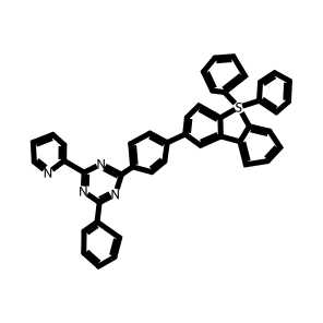 c1ccc(-c2nc(-c3ccc(-c4ccc5c(c4)-c4ccccc4S5(c4ccccc4)c4ccccc4)cc3)nc(-c3ccccn3)n2)cc1